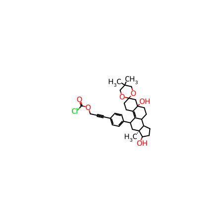 CC1(C)COC2(CCC3=C4C(c5ccc(C#CCOC(=O)Cl)cc5)C[C@]5(C)C(O)CCC5C4CC[C@@]3(O)C2)OC1